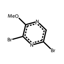 COc1ncc(Br)nc1Br